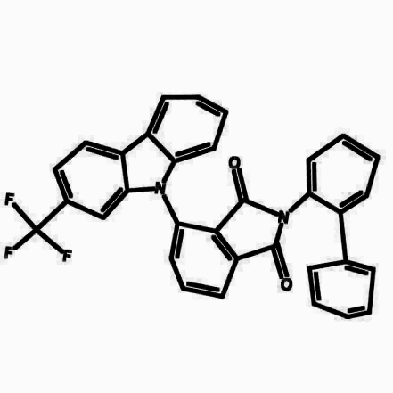 O=C1c2cccc(-n3c4ccccc4c4ccc(C(F)(F)F)cc43)c2C(=O)N1c1ccccc1-c1ccccc1